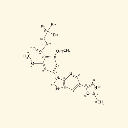 COc1cc(-n2cnc3cc(-c4nnc(C)o4)ccc32)cc(OC)c1C(=O)NCC(F)(F)F